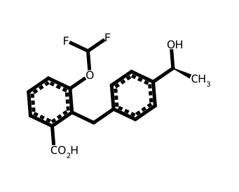 C[C@H](O)c1ccc(Cc2c(OC(F)F)cccc2C(=O)O)cc1